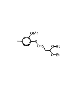 CCOC(CSOSc1ccc(C)cc1OC)OCC